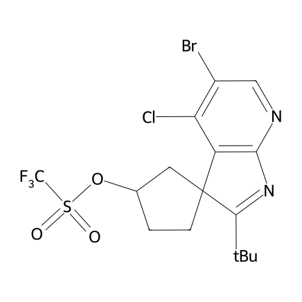 CC(C)(C)C1=Nc2ncc(Br)c(Cl)c2C12CCC(OS(=O)(=O)C(F)(F)F)C2